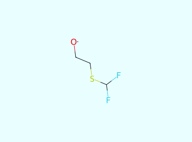 [O]CCSC(F)F